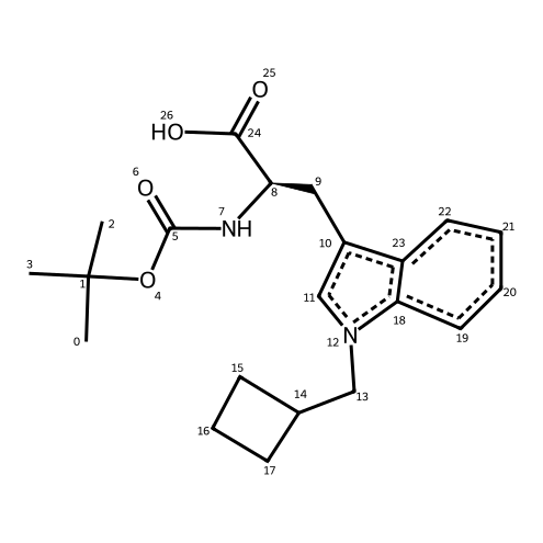 CC(C)(C)OC(=O)N[C@H](Cc1cn(CC2CCC2)c2ccccc12)C(=O)O